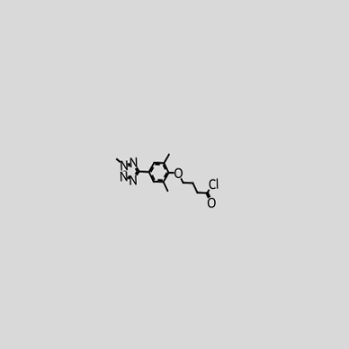 Cc1cc(-c2nnn(C)n2)cc(C)c1OCCCC(=O)Cl